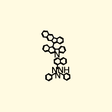 C1=CCC2C(=C1)C=c1c(c3ccccc3n1-c1ccc(C3=NC(c4ccccc4)=NC(c4ccccc4)N3)c3ccccc13)=C2C1=C2C=CC=CC2C2C=c3ccccc3=CC12